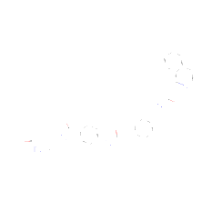 O=C(Cc1nccc2ccccc12)NCc1ccc(CC(=O)Nc2ccc3c(c2)CN(C2CCC(=O)NC2=O)C3=O)cc1